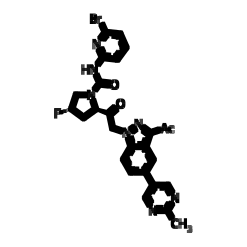 CC(=O)c1nn(CC(=O)[C@H]2C[C@H](F)CN2C(=O)Nc2cccc(Br)n2)c2ccc(-c3cnc(C)nc3)cc12